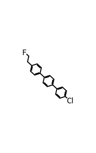 FCCc1ccc(-c2ccc(-c3ccc(Cl)cc3)cc2)cc1